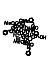 CCC1O[C@H](O[C@H]2[C@@H](OC(=O)OC)[C@H](O[C@@H]3[C@@H](OC(=O)OC)[C@H](NC(=O)OCc4ccccc4)C[C@H](C)[C@H]3O[C@H]3OC(CO)=CC[C@H]3NC(=O)OCc3ccccc3)O[C@@H]2CC)[C@H](NC(=O)OCc2ccccc2)[C@@H](OC(=O)OC)[C@@H]1OC(=O)OC